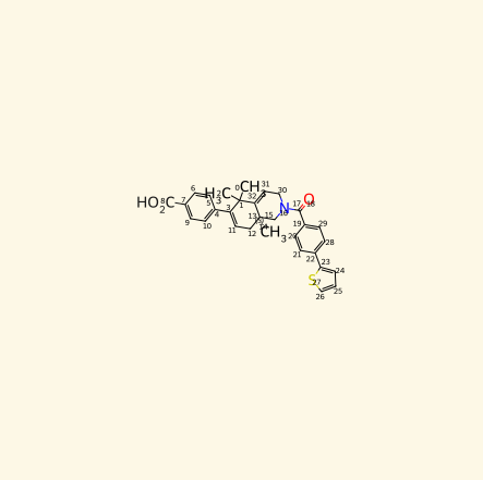 CC1(C)C(c2ccc(C(=O)O)cc2)=CC[C@]2(C)CN(C(=O)c3ccc(-c4cccs4)cc3)CC=C12